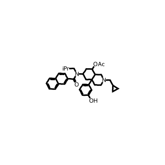 CC(=O)OC1CC(N(CC(C)C)C(=O)c2ccc3ccccc3c2)CC2(c3cccc(O)c3)CCN(CC3CC3)CC12